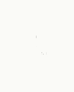 C=C(N)F